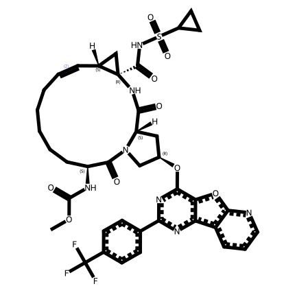 COC(=O)N[C@H]1CCCCC/C=C\[C@@H]2C[C@@]2(C(=O)NS(=O)(=O)C2CC2)NC(=O)[C@@H]2C[C@@H](Oc3nc(-c4ccc(C(F)(F)F)cc4)nc4c3oc3ncccc34)CN2C1=O